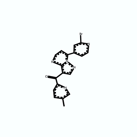 Cc1ccc(C(=O)c2cnn3c(-c4ccnc(Br)c4)ccnc23)nc1